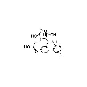 O=C(O)CCC(C(=O)O)C(C(Nc1ccc(F)cc1)c1ccccc1)[PH](=O)O